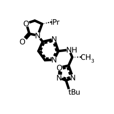 CC(C)[C@H]1COC(=O)N1c1ccnc(N[C@H](C)c2nc(C(C)(C)C)no2)n1